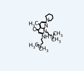 Cc1cc(N2CCCCC2)nc2c1c(=O)cc(NCCN(C)C)n2CCN(C)C